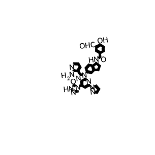 Nc1ncccc1-c1nc2c(-n3cn[nH]c3=O)cc(-n3cccn3)nc2n1-c1ccc2c(c1)CC[C@@H]2NC(=O)c1ccc(O)c(C=O)c1